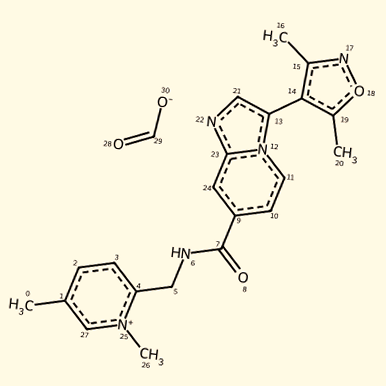 Cc1ccc(CNC(=O)c2ccn3c(-c4c(C)noc4C)cnc3c2)[n+](C)c1.O=C[O-]